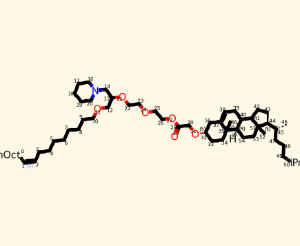 CCCCCCCC/C=C\CCCCCCCCOCC(CN1CCCCC1)OCCOCCOC(=O)CO[C@H]1CCC2(C)C(=CCC3C4CC[C@@H]([C@H](C)CCCC(C)C)C4(C)CC[C@H]32)C1